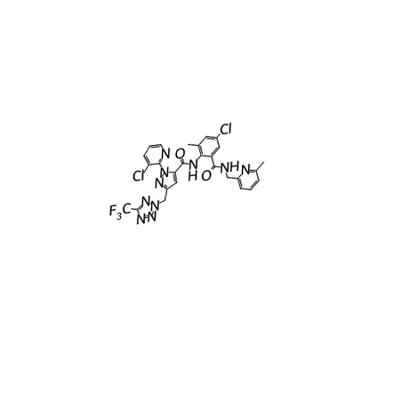 Cc1cccc(CNC(=O)c2cc(Cl)cc(C)c2NC(=O)c2cc(Cn3nnc(C(F)(F)F)n3)nn2-c2ncccc2Cl)n1